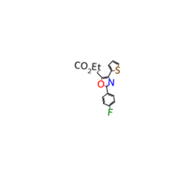 CCOC(=O)Cc1oc(-c2ccc(F)cc2)nc1-c1cccs1